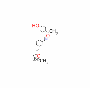 C=COC(CCC1CCCC(/C=C/OC(C)C2CCC(O)CC2)C1)CC(C)(C)C